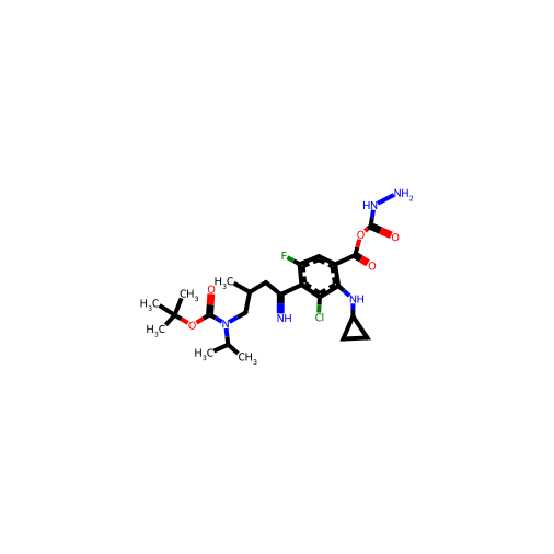 CC(CC(=N)c1c(F)cc(C(=O)OC(=O)NN)c(NC2CC2)c1Cl)CN(C(=O)OC(C)(C)C)C(C)C